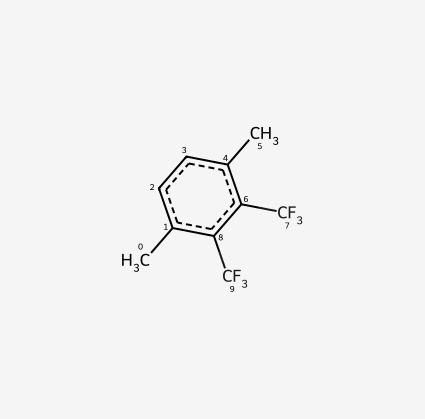 Cc1ccc(C)c(C(F)(F)F)c1C(F)(F)F